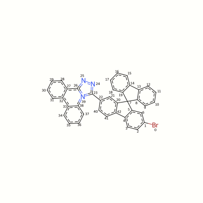 Brc1ccc2c(c1)C1(c3ccccc3-c3ccccc31)c1cc(-c3nnc4c5ccccc5c5ccccc5n34)ccc1-2